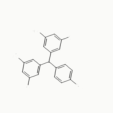 Cc1cc(C)cc(C(c2ccc([N+](=O)[O-])cc2)c2cc(C)cc(C)c2)c1